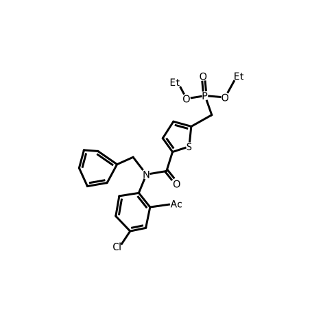 CCOP(=O)(Cc1ccc(C(=O)N(Cc2ccccc2)c2ccc(Cl)cc2C(C)=O)s1)OCC